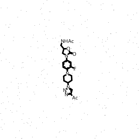 CC(=O)NCC1CN(c2ccc(N3CCC(n4cc(C(C)=O)nn4)CC3)c(F)c2)C(=O)O1